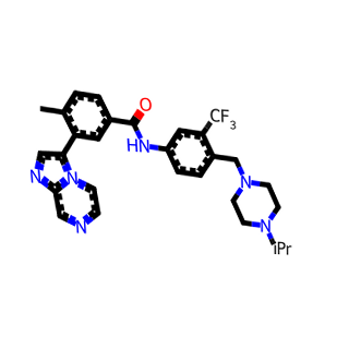 Cc1ccc(C(=O)Nc2ccc(CN3CCN(C(C)C)CC3)c(C(F)(F)F)c2)cc1-c1cnc2cnccn12